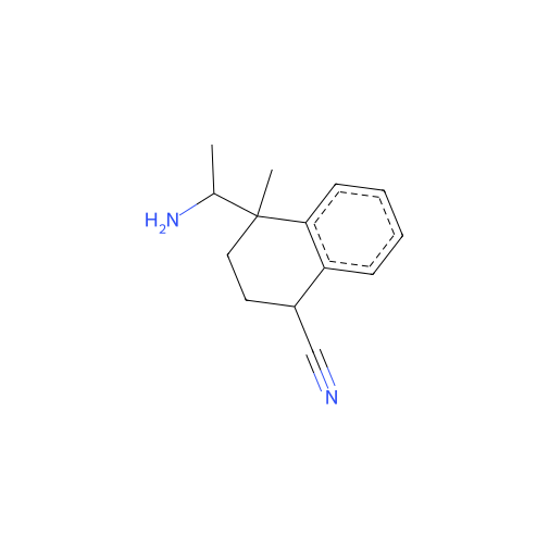 CC(N)C1(C)CCC(C#N)c2ccccc21